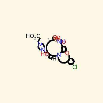 C[C@@H]1[C@@H](C)CCC[C@](O)(CN2CCN(CCC(=O)O)CC2)[C@@H]2CC[C@H]2CN2CCCCc3cc(Cl)ccc3COc3ccc(cc32)C(=O)NS1(=O)=O